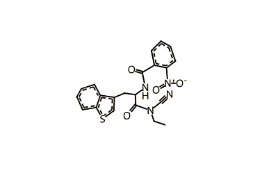 CCN(C#N)C(=O)C(Cc1csc2ccccc12)NC(=O)c1ccccc1[N+](=O)[O-]